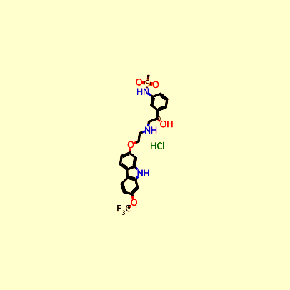 CS(=O)(=O)Nc1cccc([C@@H](O)CNCCOc2ccc3c(c2)[nH]c2cc(OC(F)(F)F)ccc23)c1.Cl